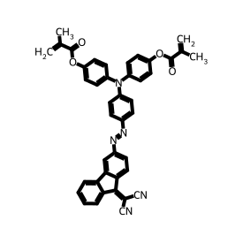 C=C(C)C(=O)Oc1ccc(N(c2ccc(/N=N/c3ccc4c(c3)-c3ccccc3C4=C(C#N)C#N)cc2)c2ccc(OC(=O)C(=C)C)cc2)cc1